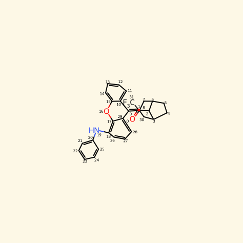 O=C(C1C2CCC1CC(=C1c3ccccc3Oc3c(Nc4ccccc4)cccc31)C2)C(F)(F)F